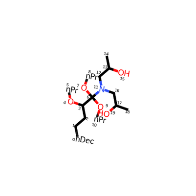 CCCCCCCCCCCCC(OCCC)C(OCCC)(OCCC)N(CC(C)O)CC(C)O